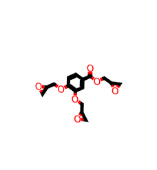 O=C(OCC1CO1)c1ccc(OCC2CO2)c(OCC2CO2)c1